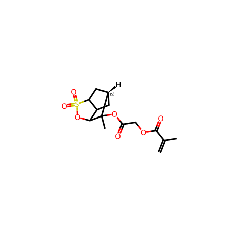 C=C(C)C(=O)OCC(=O)OC1(C)C2OS(=O)(=O)C3C[C@@H]1CC23